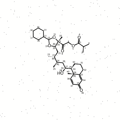 CC(C)C(=O)OCC(=O)[C@@]1(C)OC(C2CCCCC2)O[C@@H]1C[C@@H](C)[C@H](C)C[C@H](O)[C@H]1CCCC2=CC(=O)C=C[C@@]21C